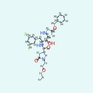 CCCOCCN1CC(C(=O)N[C@@H](Cc2cc(F)cc(F)c2)[C@H](O)[C@H]2C[C@@H](OCc3ccccc3)CN2)CC1=O